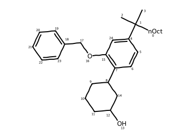 CCCCCCCCC(C)(C)c1ccc(C2CCCC(O)C2)c(OCc2ccccc2)c1